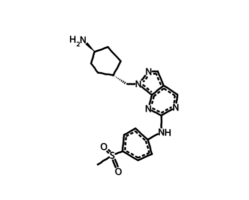 CS(=O)(=O)c1ccc(Nc2ncc3cnn(C[C@H]4CC[C@H](N)CC4)c3n2)cc1